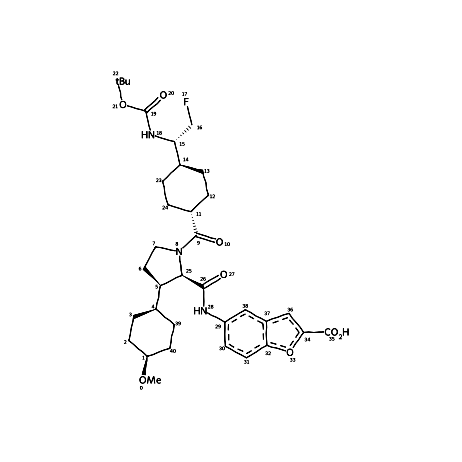 CO[C@H]1CC[C@@H]([C@H]2CCN(C(=O)[C@H]3CC[C@H]([C@@H](CF)NC(=O)OC(C)(C)C)CC3)[C@H]2C(=O)Nc2ccc3oc(C(=O)O)cc3c2)CC1